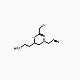 O=C(O)CCC(CNCC=S)NC(=O)CS